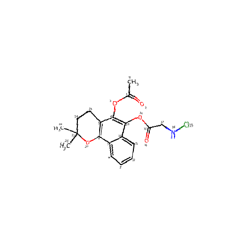 CC(=O)Oc1c2c(c3ccccc3c1OC(=O)CNCl)OC(C)(C)CC2